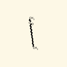 CCCCCCCCCCCCCCCCC(=O)OCCC